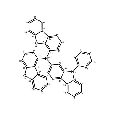 c1ccc(-n2c3ccccc3c3ccc(N(c4cccc5c4oc4ccccc45)c4cccc5oc6ccccc6c45)cc32)cc1